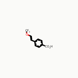 O=C(O)c1ccc(C=COC(F)(F)F)cc1